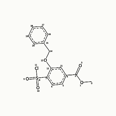 COC(=O)c1ccc(S(=O)(=O)Cl)c(OCc2ccccc2)c1